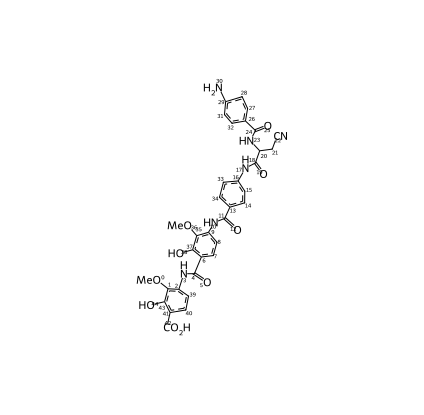 COc1c(NC(=O)c2ccc(NC(=O)c3ccc(NC(=O)C(CC#N)NC(=O)c4ccc(N)cc4)cc3)c(OC)c2O)ccc(C(=O)O)c1O